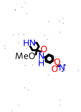 COCC1(C(=O)Nc2ccc(OC(=O)N(C)C)cc2)CCNCC1